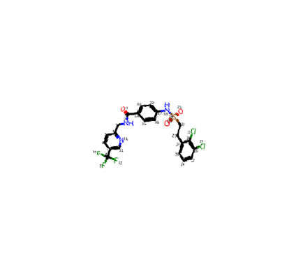 O=C(NCc1ccc(C(F)(F)F)cn1)c1ccc(NS(=O)(=O)CCc2cccc(Cl)c2Cl)cc1